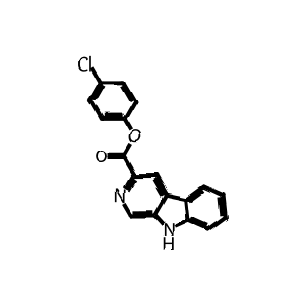 O=C(Oc1ccc(Cl)cc1)c1cc2c(cn1)[nH]c1ccccc12